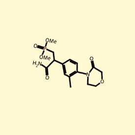 COP(=O)(CC(C(N)=O)c1ccc(N2CCOCC2=O)c(C)c1)OC